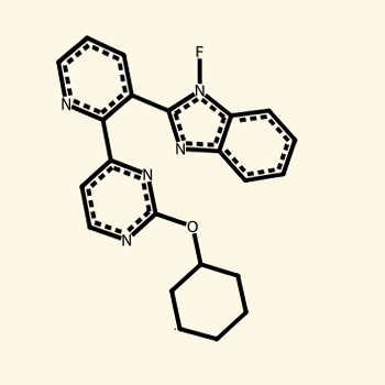 Fn1c(-c2cccnc2-c2ccnc(OC3C[CH]CCC3)n2)nc2ccccc21